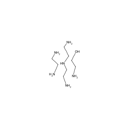 NCCN.NCCNCCN.NCCO